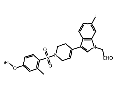 Cc1cc(OC(C)C)ccc1S(=O)(=O)N1CC=C(c2cn(CC=O)c3cc(I)ccc23)CC1